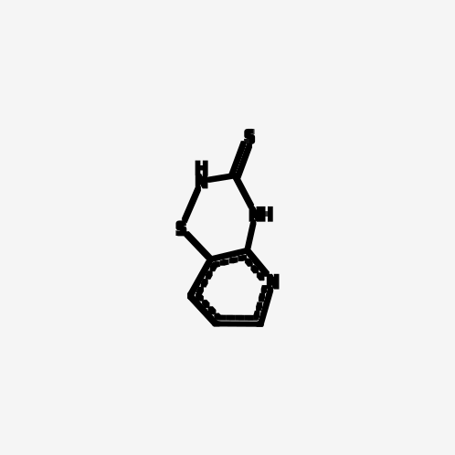 S=C1NSc2cccnc2N1